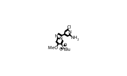 COc1cc2ncc(-c3cc(N)nc(Cl)c3)n2cc1S(=O)(=O)C(C)(C)C